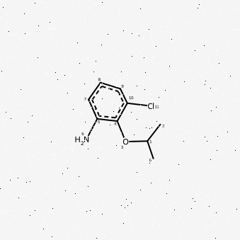 CC(C)Oc1c(N)cccc1Cl